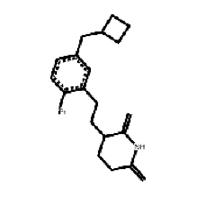 C=C1CCC(CCc2cc(CC3CCC3)ccc2C(C)C)C(=C)N1